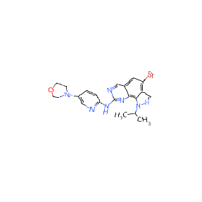 CC(C)n1ncc2c(Br)cc3cnc(Nc4ccc(N5CCOCC5)cn4)nc3c21